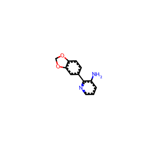 Nc1cccnc1-c1ccc2c(c1)OCO2